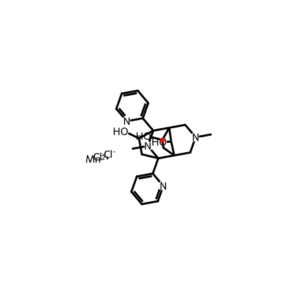 CN1CC23CC(O)C(C1)(C2O)C1(c2ccccn2)C(O)CC3(c2ccccn2)N1C.[Cl-].[Cl-].[Mn+2]